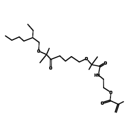 C=C(C)C(=O)OCCNC(=O)C(C)(C)OCCCCC(=O)C(C)(C)OCC(CC)CCCC